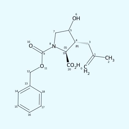 C=C(C)C[C@H]1C(O)CN(C(=O)OCc2ccccc2)[C@@H]1C(=O)O